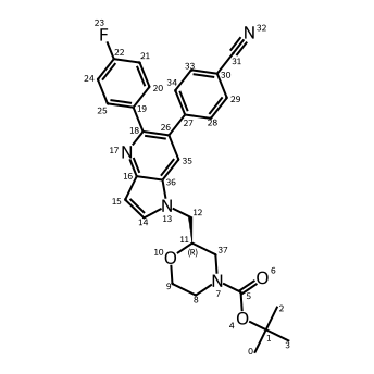 CC(C)(C)OC(=O)N1CCO[C@@H](Cn2ccc3nc(-c4ccc(F)cc4)c(-c4ccc(C#N)cc4)cc32)C1